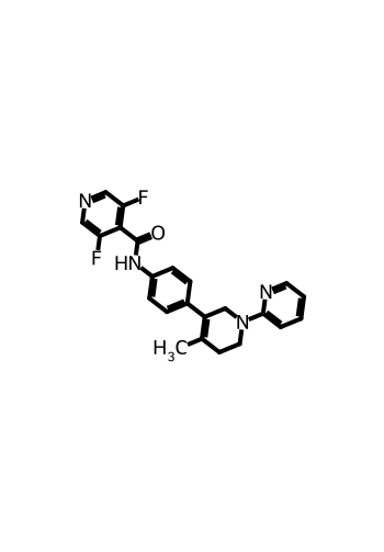 CC1=C(c2ccc(NC(=O)c3c(F)cncc3F)cc2)CN(c2ccccn2)CC1